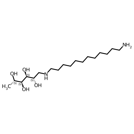 C[C@H](O)[C@H](O)[C@@H](O)[C@@H](O)CNCCCCCCCCCCCCN